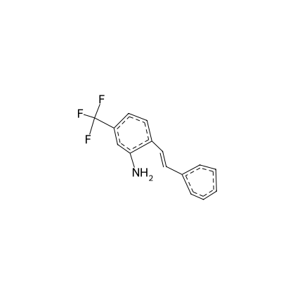 Nc1cc(C(F)(F)F)ccc1C=Cc1ccccc1